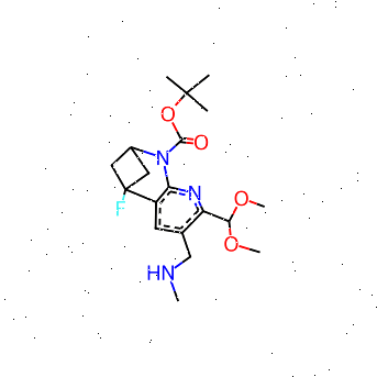 CNCc1cc2c(nc1C(OC)OC)N(C(=O)OC(C)(C)C)C1CC2(F)C1